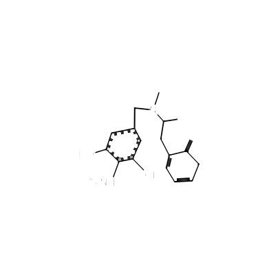 CC(=O)Nc1c(O)cc(CN(C)C(C)CC2=CC=CCC2=S)cc1O